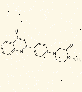 CN1CCN(c2ccc(-c3cc(Cl)c4ccccc4n3)cc2)CC1=O